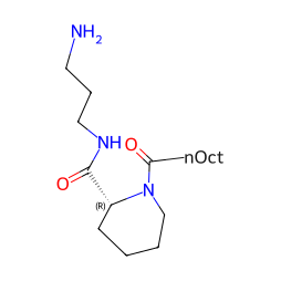 CCCCCCCCC(=O)N1CCCC[C@@H]1C(=O)NCCCN